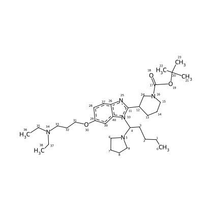 CCCCC(N1CCCC1)n1c(C2CCCN(C(=O)OC(C)(C)C)C2)nc2ccc(OCCCN(CC)CC)cc21